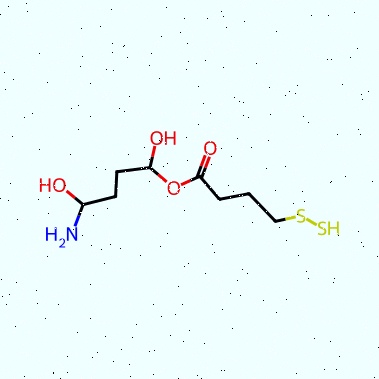 NC(O)CCC(O)OC(=O)CCCSS